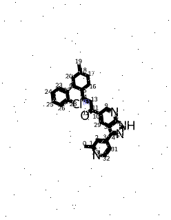 Cc1cc(-c2n[nH]c3ncc(C(=O)/C=C/C4CCC(C)C[C@H]4c4ccccc4Cl)cc23)ccn1